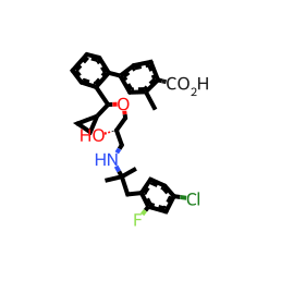 Cc1cc(-c2ccccc2C(OC[C@@H](O)CNC(C)(C)Cc2ccc(Cl)cc2F)C2CC2)ccc1C(=O)O